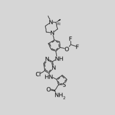 C[C@H]1CN(c2ccc(Nc3ncc(Cl)c(Nc4ccsc4C(N)=O)n3)c(OC(F)F)c2)CCN1C